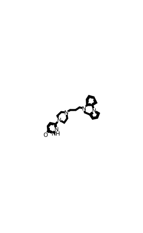 O=c1ccc(N2CCN(CCCN3Cc4cccn4-c4ccccc43)CC2)n[nH]1